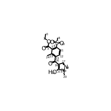 CCOC(=O)c1c(S(C)(=O)=O)ccc(C(=O)c2cnn(C)c2O)c1C